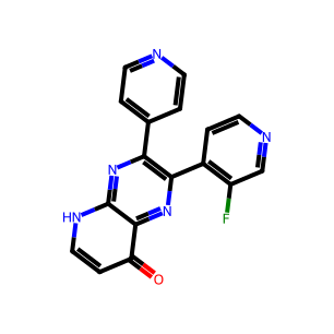 O=c1cc[nH]c2nc(-c3ccncc3)c(-c3ccncc3F)nc12